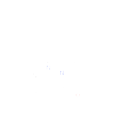 O=c1cc[c]nn1-c1ccccc1